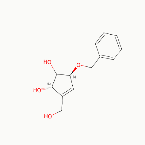 OCC1=C[C@H](OCc2ccccc2)C(O)[C@H]1O